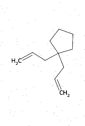 C=CCC1(CC=C)CCCC1